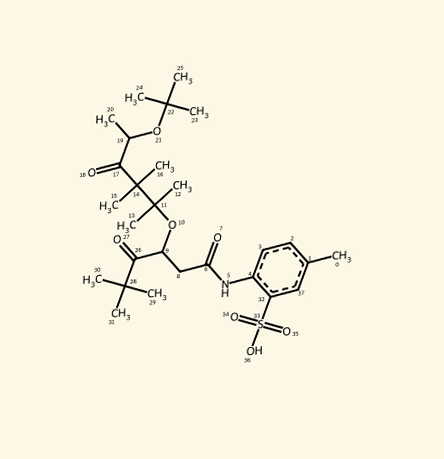 Cc1ccc(NC(=O)CC(OC(C)(C)C(C)(C)C(=O)C(C)OC(C)(C)C)C(=O)C(C)(C)C)c(S(=O)(=O)O)c1